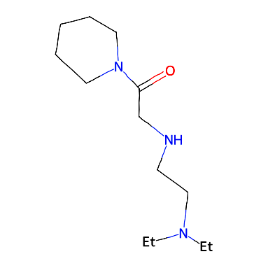 CCN(CC)CCNCC(=O)N1CCCCC1